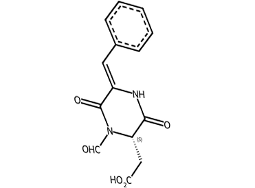 O=CN1C(=O)C(=Cc2ccccc2)NC(=O)[C@@H]1CC(=O)O